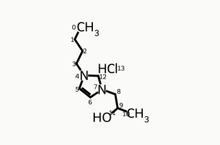 CCCCN1C=CN(CC(C)O)C1.Cl